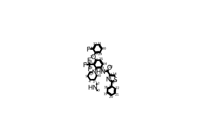 CNC[C@@H]1CCCN(c2c(NC(=O)c3csc(-c4ccccc4)n3)ccc(Oc3ccccc3F)c2C(F)(F)F)C1